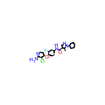 C=C(/C=C(F)\C(=C/C)Oc1ccnc(N)c1Cl)NC(=O)c1cnn(-c2ccccc2)c1C